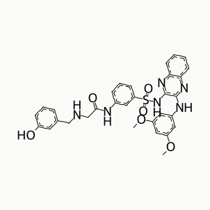 COc1cc(Nc2nc3ccccc3nc2NS(=O)(=O)c2cccc(NC(=O)CNCc3cccc(O)c3)c2)cc(OC)c1